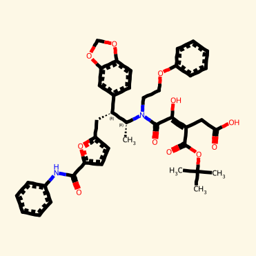 C[C@H]([C@H](Cc1ccc(C(=O)Nc2ccccc2)o1)c1ccc2c(c1)OCO2)N(CCOc1ccccc1)C(=O)C(O)=C(CC(=O)O)C(=O)OC(C)(C)C